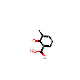 CC1=CCC=C(C(=O)O)C1=O